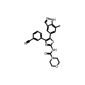 Cc1cc(-c2sc(NC(=O)N3CCOCC3)nc2-c2cccc(C#N)c2)cc2cn[nH]c12